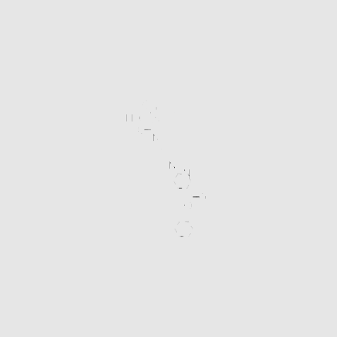 CC(C)(C)OC(=O)N1CC2(CCN(c3ccc(C(=O)OCc4ccccc4)cn3)CC2)C1